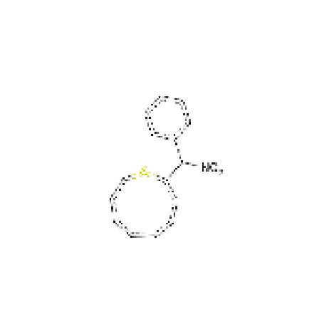 O=[N+]([O-])C(c1ccccc1)c1cccccccs1